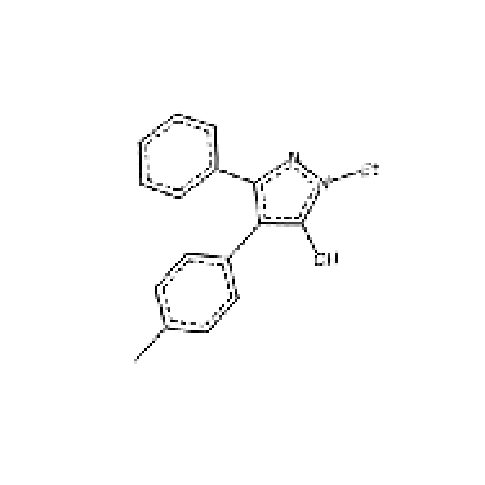 CCn1nc(-c2ccccc2)c(-c2ccc(C)cc2)c1O